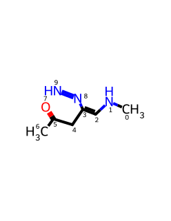 CN/C=C(/CC(C)=O)N=N